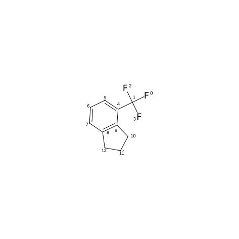 FC(F)(F)c1cccc2c1C[CH]C2